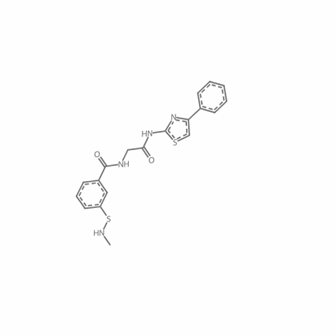 CNSc1cccc(C(=O)NCC(=O)Nc2nc(-c3ccccc3)cs2)c1